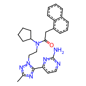 Cc1nc(-c2ccnc(N)n2)n(CCN(C(=O)Cc2cccc3ccccc23)C2CCCC2)n1